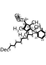 CCCCCCCCCCCCCCCCCC[Si](C)(C1=C(C)C(C)=[C]([Ti+3])C1C)c1ccccc1.[Cl-].[Cl-].[Cl-]